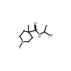 CC(C)C(C)NC(=O)C1(C)CCN(C)CC1